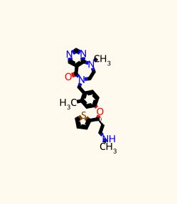 CNCC[C@H](Oc1ccc(CN2CCN(C)c3ncncc3C2=O)c(C)c1)c1cccs1